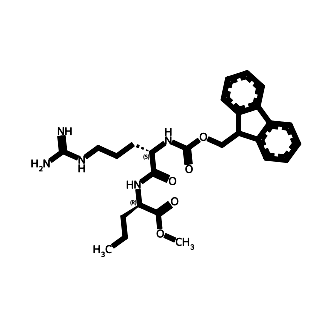 CCC[C@@H](NC(=O)[C@H](CCCNC(=N)N)NC(=O)OCC1c2ccccc2-c2ccccc21)C(=O)OC